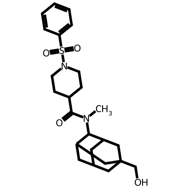 CN(C(=O)C1CCN(S(=O)(=O)c2ccccc2)CC1)C1C2CC3CC1CC(CO)(C3)C2